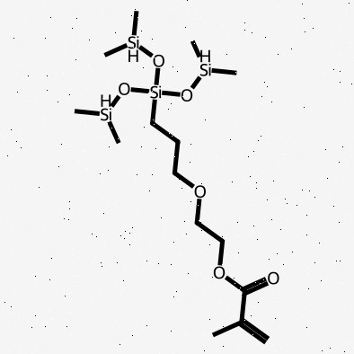 C=C(C)C(=O)OCCOCCC[Si](O[SiH](C)C)(O[SiH](C)C)O[SiH](C)C